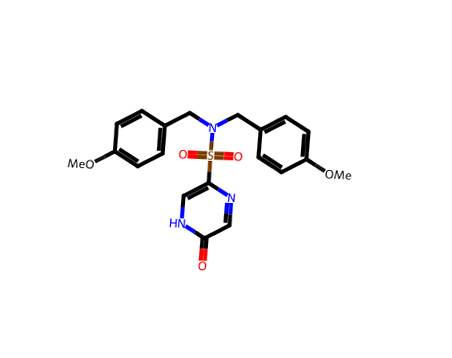 COc1ccc(CN(Cc2ccc(OC)cc2)S(=O)(=O)c2c[nH]c(=O)cn2)cc1